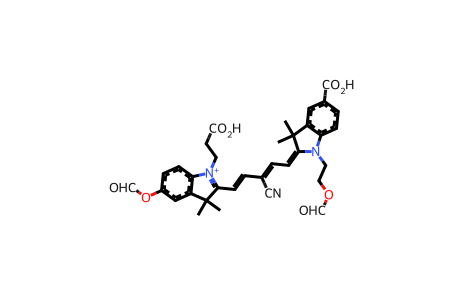 CC1(C)C(/C=C/C(C#N)=C/C=C2/N(CCOC=O)c3ccc(C(=O)O)cc3C2(C)C)=[N+](CCC(=O)O)c2ccc(OC=O)cc21